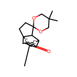 C/C1=C/C(=O)C2CCCC3(CC1)CCC1(OCC(C)(C)CO1)C23